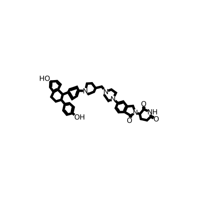 O=C1CCC(N2Cc3cc(N4CCN(CC5CCN(c6ccc(C7c8ccc(O)cc8CCC7c7ccc(O)cc7)cc6)CC5)CC4)ccc3C2=O)C(=O)N1